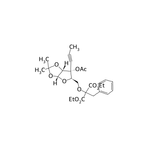 CC#C[C@@]1(OC(C)=O)[C@@H](COC(Cc2ccccc2)(C(=O)OCC)C(=O)OCC)O[C@@H]2OC(C)(C)O[C@@H]21